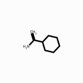 C=C(N)C1[CH]CCCC1